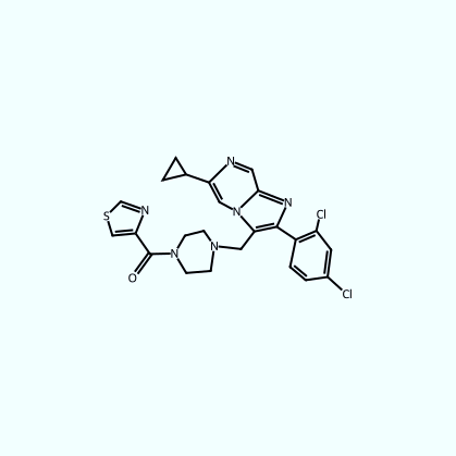 O=C(c1cscn1)N1CCN(Cc2c(-c3ccc(Cl)cc3Cl)nc3cnc(C4CC4)cn23)CC1